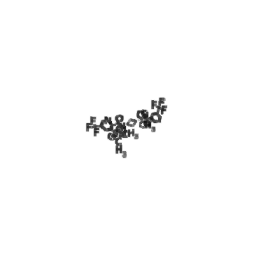 CC(C)S(=O)(=O)c1cc(C(F)(F)F)cnc1C(=O)N[C@H]1C[C@@H](C(C)(C)S(=O)(=O)c2cccc(C(F)(F)F)c2)C1